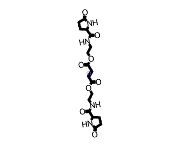 O=C1CCC(C(=O)NCCOC(=O)/C=C/C(=O)OCCNC(=O)C2CCC(=O)N2)N1